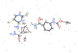 CC(C)(C)OC(=O)Nc1cccc(C(O)NC[C@@H]2C[C@@H]3C[C@H]2[C@@H](Nc2nc(Cl)ncc2F)[C@H]3C(N)=O)c1